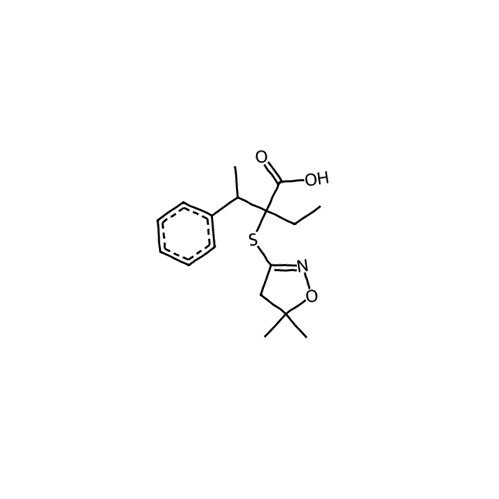 CCC(SC1=NOC(C)(C)C1)(C(=O)O)C(C)c1ccccc1